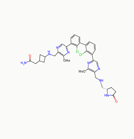 COc1nc(-c2cccc(-c3cccc(-c4cnc(CNC5CC(CC(N)=O)C5)c(OC)n4)c3Cl)c2Cl)cnc1CNC[C@@H]1CCC(=O)N1